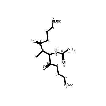 CCCCCCCCCCCCCC(=O)C(C)C(NC(N)=O)C(=O)CCCCCCCCCCCCC